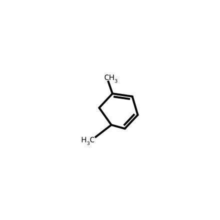 CC1=CC=CC(C)C1